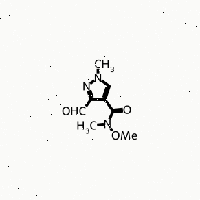 CON(C)C(=O)c1cn(C)nc1C=O